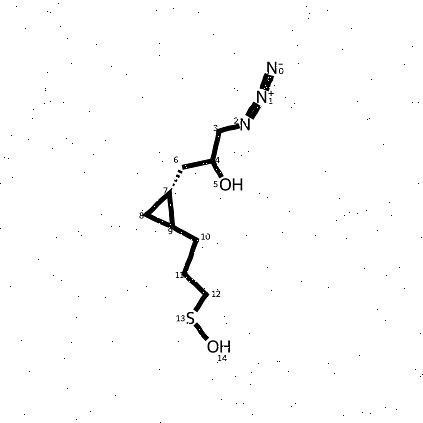 [N-]=[N+]=NCC(O)C[C@H]1CC1CCCSO